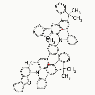 Cc1cc(-c2ccc(N(c3ccccc3-c3ccc4c(c3)C(C)(C)c3ccccc3-4)c3cccc4c3oc3ccccc34)c(C)c2)ccc1N(c1ccccc1-c1ccc2c(c1)C(C)(C)c1ccccc1-2)c1cccc2c1oc1ccccc12